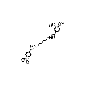 O=[N+]([O-])c1ccc(CCNCCCCCCNCCc2ccc(O)c(O)c2)cc1